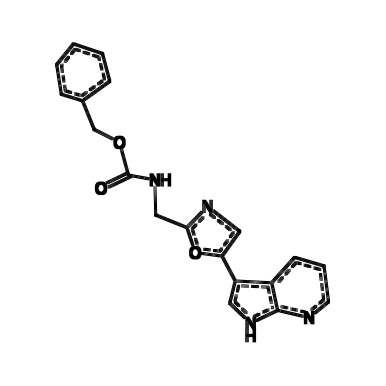 O=C(NCc1ncc(-c2c[nH]c3ncccc23)o1)OCc1ccccc1